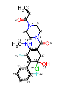 C=CC(=O)N1CCN(C(=O)C2=C(NC)C(F)=C(c3ccccc3F)C(O)(Cl)C2)CC1